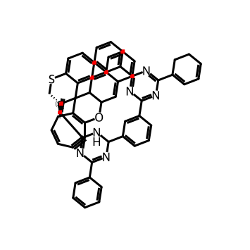 C1#CC2=C(CC=C1)C1(c3ccccc3SC[C@@]13C=CC=C(C1=NC(c4ccccc4)=NC(c4cccc(-c5nc(C6=CC=CCC6)nc(-c6ccccc6)n5)c4)N1)C3)C1C=c3ccccc3=CC1O2